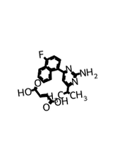 CC(C)c1cc(-c2ccc(F)c3ccccc23)nc(N)n1.O=C(O)C=CC(=O)O